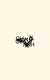 C=NCc1cc(C2N=CN=C(Nc3ccc(N4CCN(C)C[C@H](C)C4)cc3)N2C)ccc1O[C@H]1CCN(C(=O)[C@H](C)O)C[C@H]1F